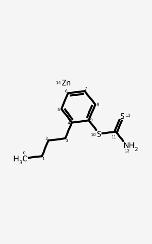 CCCCc1ccccc1SC(N)=S.[Zn]